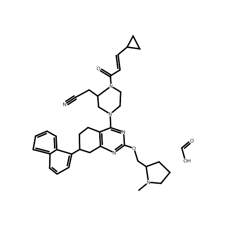 CN1CCCC1COc1nc2c(c(N3CCN(C(=O)/C=C/C4CC4)C(CC#N)C3)n1)CCC(c1cccc3ccccc13)C2.O=CO